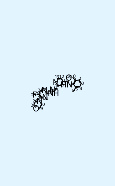 Cc1cccc(C)c1NC(=O)c1ccnc(/C=N/Nc2ncc(F)c(N3CCOCC3)n2)c1